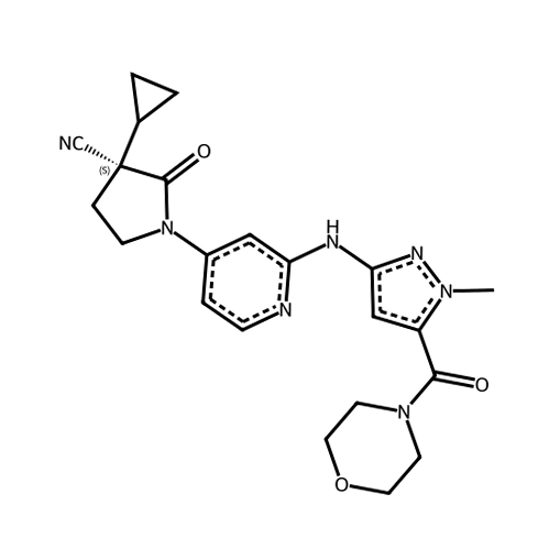 Cn1nc(Nc2cc(N3CC[C@@](C#N)(C4CC4)C3=O)ccn2)cc1C(=O)N1CCOCC1